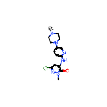 CCN1CCN(c2ccc(Nc3cc(Cl)nn(C)c3=O)nc2)CC1